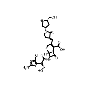 Nc1nc(C(=NO)C(=O)N[C@@H]2C(=O)N3C(C(=O)O)=C(C=C4CCN([C@H]5CN[C@H](CO)C5)C4=O)CS[C@H]23)c(Cl)s1